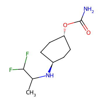 CC(N[C@H]1CC[C@H](OC(N)=O)CC1)C(F)F